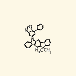 CC1(C)c2ccccc2-c2cc3c(cc21)c1ccccc1n3-c1cc(-c2ccccc2)c2ocnc2c1